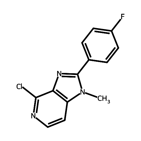 Cn1c(-c2ccc(F)cc2)nc2c(Cl)nccc21